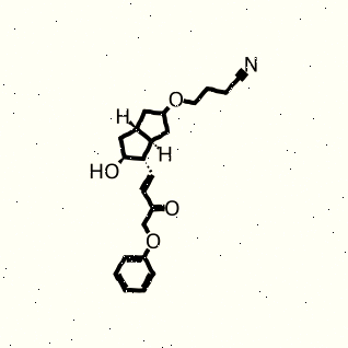 N#CCCCOC1C[C@H]2C[C@H](O)[C@@H](C=CC(=O)COc3ccccc3)[C@@H]2C1